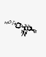 O=C(O)N1CCN(c2nc3ncc(Br)cc3n3cnnc23)CC1